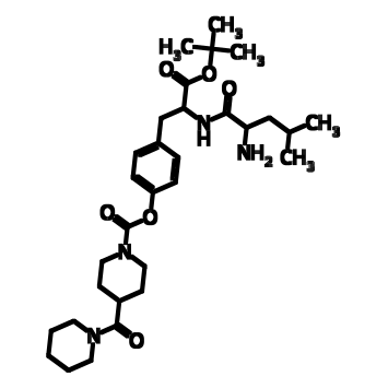 CC(C)CC(N)C(=O)NC(Cc1ccc(OC(=O)N2CCC(C(=O)N3CCCCC3)CC2)cc1)C(=O)OC(C)(C)C